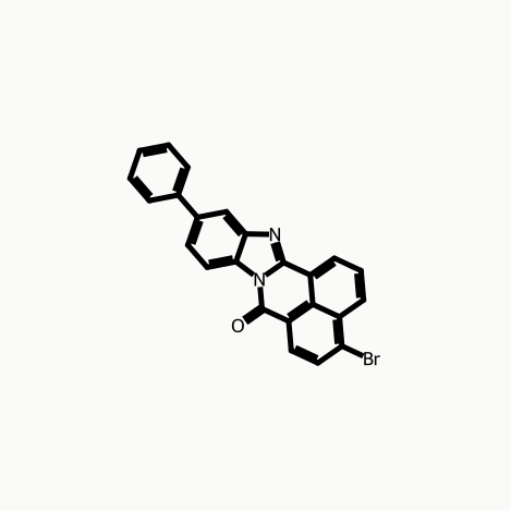 O=c1c2ccc(Br)c3cccc(c32)c2nc3cc(-c4ccccc4)ccc3n12